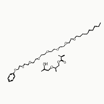 C=C(C)C(=O)OCC(C)OCC(C)O.CCCCCCCCCOCCOCCOCCOCCOCCOCCOCCOc1ccccc1